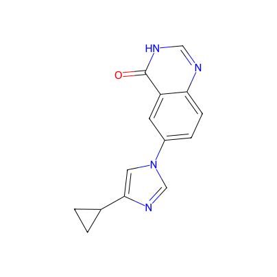 O=c1[nH]cnc2ccc(-n3cnc(C4CC4)c3)cc12